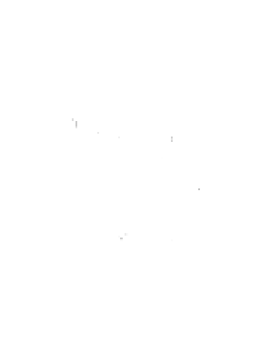 O=C1c2cc(Br)ccc2-c2c(Br)cccc21